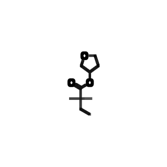 CCC(C)(C)C(=O)OC1CCOC1